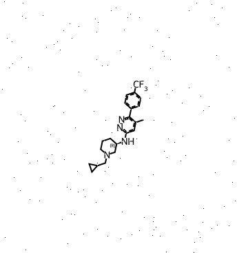 Cc1cc(N[C@@H]2CCCN(CC3CC3)C2)nnc1-c1ccc(C(F)(F)F)cc1